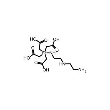 NCCNCC[NH][Fe]([CH2]C(=O)O)([CH2]C(=O)O)([CH2]C(=O)O)[CH2]C(=O)O